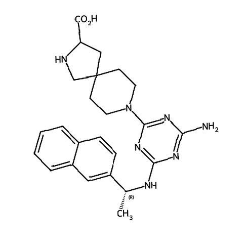 C[C@@H](Nc1nc(N)nc(N2CCC3(CC2)CNC(C(=O)O)C3)n1)c1ccc2ccccc2c1